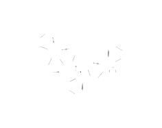 c1ccc2c(c1)-c1cccc3c(-n4c5ccccc5c5cc6oc7ccccc7c6cc54)ccc-2c13